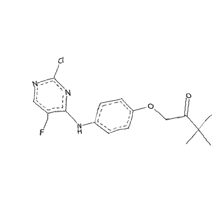 CC(C)(C)C(=O)COc1ccc(Nc2nc(Cl)ncc2F)cc1